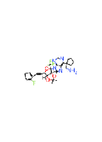 CC1(C)O[C@H]2[C@@H](O1)[C@](n1cnc3c(C4(CN)CCCC4)ncnc31)(C(F)(F)F)O[C@@H]2C#Cc1ccccc1F